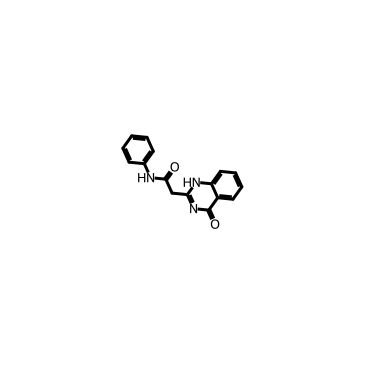 O=C(Cc1nc(=O)c2ccccc2[nH]1)Nc1ccccc1